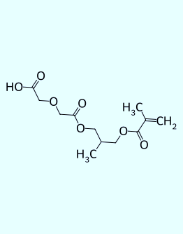 C=C(C)C(=O)OCC(C)COC(=O)COCC(=O)O